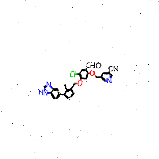 Cc1c(COc2cc(OCc3cncc(C#N)c3)c(C=O)cc2Cl)cccc1-c1ccc2[nH]cnc2c1